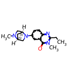 CCc1nc2ccc(N3C[C@@H]4C[C@H]3CN4C)cc2c(=O)n1C